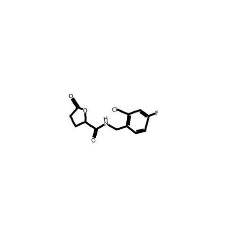 O=C1CCC(C(=O)NCc2ccc(F)cc2Cl)O1